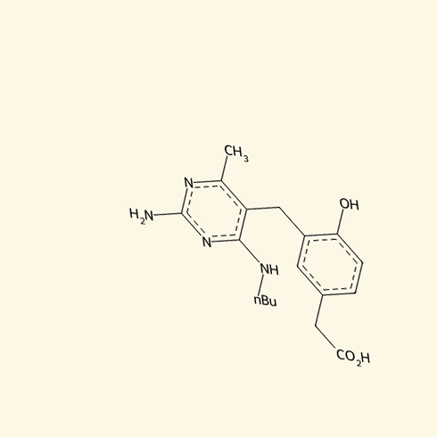 CCCCNc1nc(N)nc(C)c1Cc1cc(CC(=O)O)ccc1O